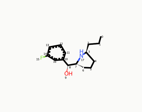 CCC[C@H]1CCC[C@H]([C@H](O)c2cccc(F)c2)N1